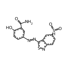 NC(=O)c1cc(/N=N/c2snc3ccc([SH](=O)=O)cc23)ccc1O